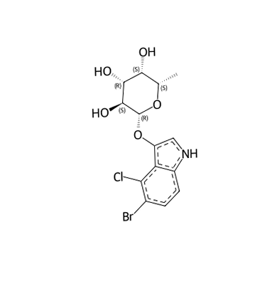 C[C@@H]1O[C@H](Oc2c[nH]c3ccc(Br)c(Cl)c23)[C@@H](O)[C@H](O)[C@@H]1O